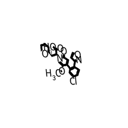 COc1cn(C(C[C@@H]2CCCCO2)C(=O)O)c(=O)cc1-c1cc(Cl)ccc1-c1ccon1